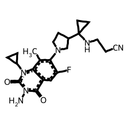 Cc1c(N2CCC(C3(NCCC#N)CC3)C2)c(F)cc2c(=O)n(N)c(=O)n(C3CC3)c12